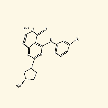 Cl.N[C@@H]1CCN(c2nc(Nc3cccc(C(F)(F)F)c3)c3c(=O)[nH]ccc3n2)C1